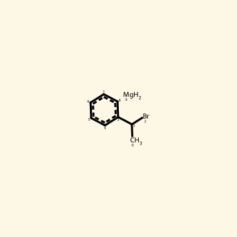 CC(Br)c1ccccc1.[MgH2]